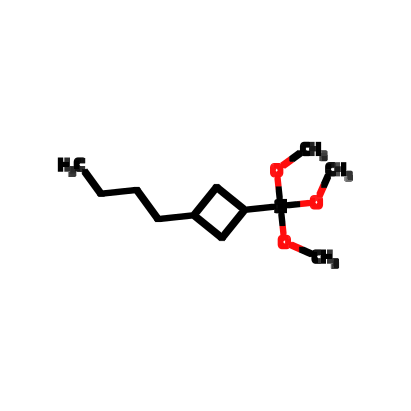 CCCCC1CC([Si](OC)(OC)OC)C1